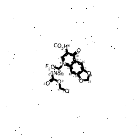 CCCCCCCCCC(=O)OCCl.O=C(O)c1cn(CC(F)(F)F)c2cc3c(cc2c1=O)OCO3